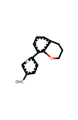 O=Cc1ccc(-c2cccc3c2OCCC3)cc1